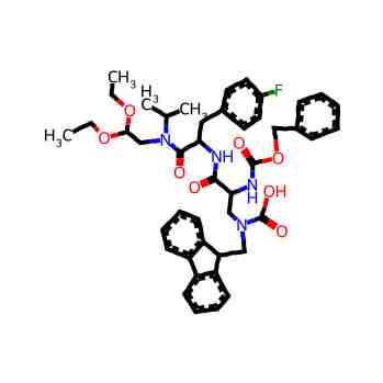 CCOC(CN(C(=O)C(Cc1ccc(F)cc1)NC(=O)C(CN(CC1c2ccccc2-c2ccccc21)C(=O)O)NC(=O)OCc1ccccc1)C(C)C)OCC